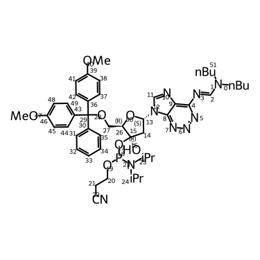 CCCCN(C=Nc1nnnc2c1ncn2[C@@H]1C[C@@](O)(OP(OCCC#N)N(C(C)C)C(C)C)[C@@H](COC(c2ccccc2)(c2ccc(OC)cc2)c2ccc(OC)cc2)O1)CCCC